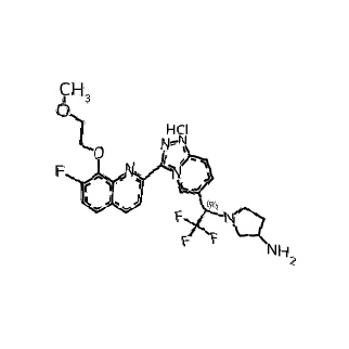 COCCOc1c(F)ccc2ccc(-c3nnc4ccc([C@@H](N5CCC(N)C5)C(F)(F)F)cn34)nc12.Cl